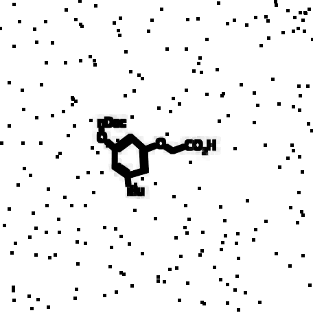 CCCCCCCCCCOc1cc(OCC(=O)O)cc(C(C)CC)c1